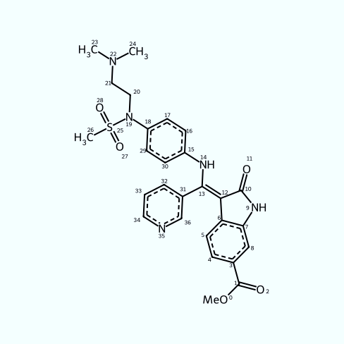 COC(=O)c1ccc2c(c1)NC(=O)/C2=C(\Nc1ccc(N(CCN(C)C)S(C)(=O)=O)cc1)c1cccnc1